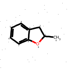 CC1Cc2c[c]ccc2O1